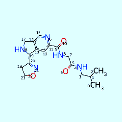 CC(C)CNC(=O)CNC(=O)c1cc2c(cn1)CNC2C1=NOCC1